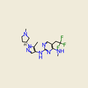 CNc1nc(Nc2cnn([C@@H]3CCN(C)C3)c2C)ncc1CC(F)(F)F